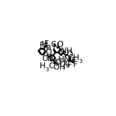 Cc1cccc(C(F)(F)F)c1Oc1ncc(C(C)(C)O)cc1-c1cn(C)c(=O)c2[nH]c(C(=O)NC(C)(C)C(F)(F)F)cc12